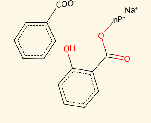 CCCOC(=O)c1ccccc1O.O=C([O-])c1ccccc1.[Na+]